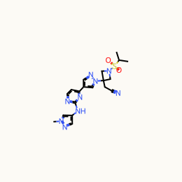 CC(C)S(=O)(=O)N1CC(CC#N)(n2cc(-c3ccnc(Nc4cnn(C)c4)n3)cn2)C1